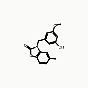 COc1cc(O)cc(Cn2c(=O)oc3ccc(C)cc32)c1